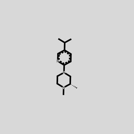 CC(C)c1ccc(N2CCN(C)[C@@H](C)C2)nc1